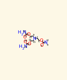 CN(C)C(=O)OCCN(CCOC(N)=O)CCOC(N)=O